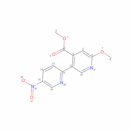 COC(=O)c1cc(OC)ncc1-c1ccc([N+](=O)[O-])cn1